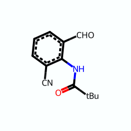 CC(C)(C)C(=O)Nc1c(C#N)cccc1C=O